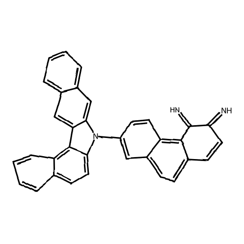 N=C1C=Cc2ccc3cc(-n4c5cc6ccccc6cc5c5c6ccccc6ccc54)ccc3c2C1=N